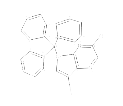 Clc1cnc2c(I)cn(C(c3ccccc3)(c3ccccc3)c3ccccc3)c2n1